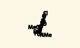 CNCC(=O)OC1(COc2ccc(N3Cc4cc(-c5ccc(Cl)cc5)sc4C3=O)cc2OC)CC(F)(F)C1